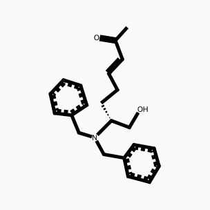 CC(=O)/C=C/CC[C@H](CO)N(Cc1ccccc1)Cc1ccccc1